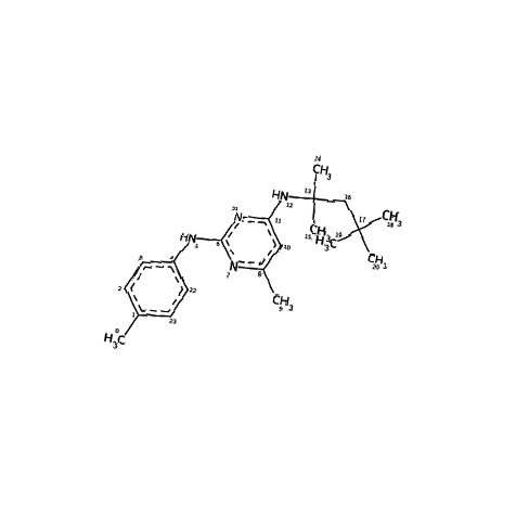 Cc1ccc(Nc2nc(C)cc(NC(C)(C)CC(C)(C)C)n2)cc1